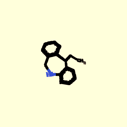 CCC1c2ccccc2CNc2ccccc21